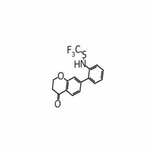 O=C1CCOc2cc(-c3ccccc3NSC(F)(F)F)ccc21